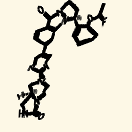 CC(F)Oc1ccccc1[C@@H]1CCn2c(=O)c3ccc(-c4cnc(N5CCN6C(=O)NC[C@H]6C5)nc4)cc3n21